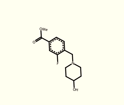 COC(=O)c1ccc(CN2CCC(O)CC2)c(F)c1